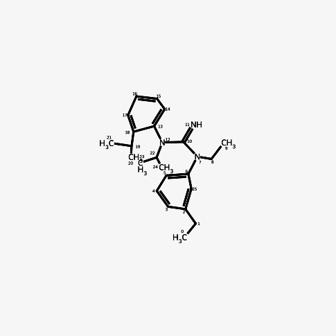 CCc1cccc(N(CC)C(=N)N(c2ccccc2C(C)C)C(C)C)c1